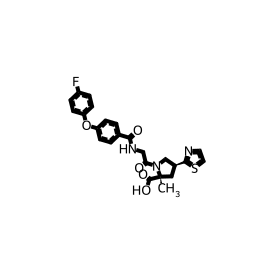 C[C@@]1(C(=O)O)C[C@H](c2nccs2)CN1C(=O)CNC(=O)c1ccc(Oc2ccc(F)cc2)cc1